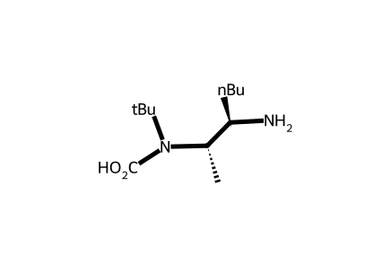 CCCC[C@@H](N)[C@H](C)N(C(=O)O)C(C)(C)C